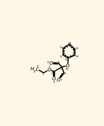 CCOC(=O)C(C=O)(C=O)Oc1ccccc1